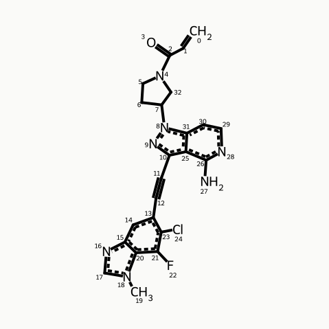 C=CC(=O)N1CCC(n2nc(C#Cc3cc4ncn(C)c4c(F)c3Cl)c3c(N)nccc32)C1